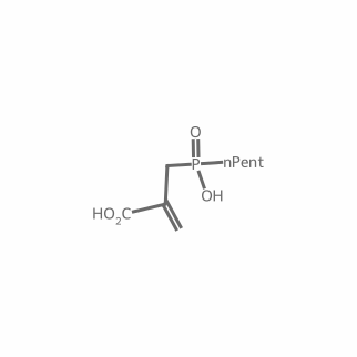 C=C(CP(=O)(O)CCCCC)C(=O)O